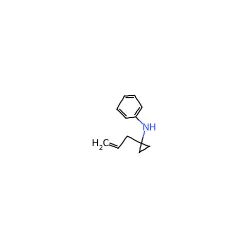 C=CCC1(Nc2ccccc2)CC1